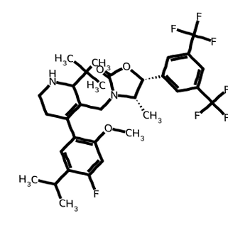 COc1cc(F)c(C(C)C)cc1C1=C(CN2C(=O)O[C@H](c3cc(C(F)(F)F)cc(C(F)(F)F)c3)[C@@H]2C)C(C(C)(C)C)NCC1